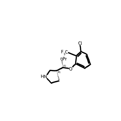 CCC[C@H](Oc1cccc(Cl)c1C(F)(F)F)[C@@H]1CCNC1